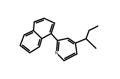 [CH2]CC(C)c1ccnc(-c2cccc3ccccc23)c1